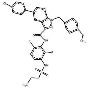 CCCS(=O)(=O)Nc1ccc(F)c(NC(=O)c2nn(Cc3ccc(OC)cc3)c3ncc(-c4ccc(Cl)cc4)cc23)c1F